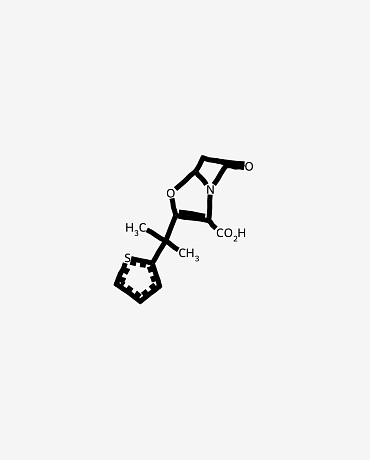 CC(C)(C1=C(C(=O)O)N2C(=O)CC2O1)c1cccs1